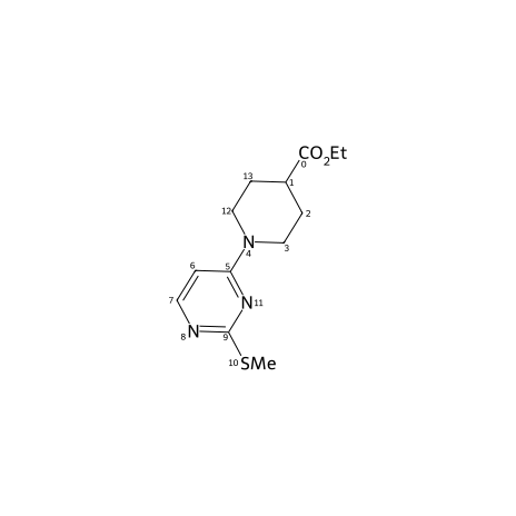 CCOC(=O)C1CCN(c2ccnc(SC)n2)CC1